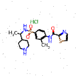 Cc1cc(S(=O)(=O)N[C@H](C)C2CCNCC2)ccc1NC(=O)c1nccs1.Cl